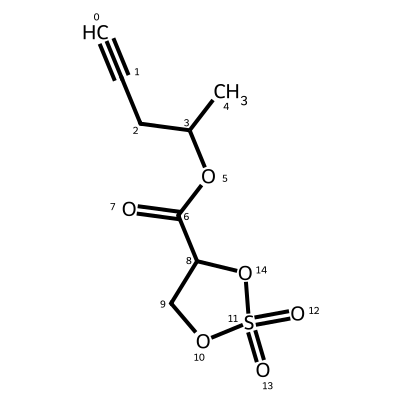 C#CCC(C)OC(=O)C1COS(=O)(=O)O1